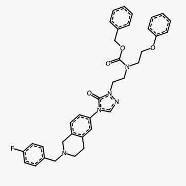 O=C(OCc1ccccc1)N(CCOc1ccccc1)CCn1ncn(-c2ccc3c(c2)CCN(Cc2ccc(F)cc2)C3)c1=O